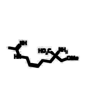 COC[C@@](N)(CC/C=C\CNC(C)=N)C(=O)O